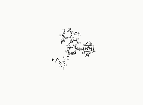 CN1CCC[C@H]1COc1nc2c(c(N3C[C@H]4CC[C@@H](C3)N4)n1)CCN(c1c(O)cccc1F)C2